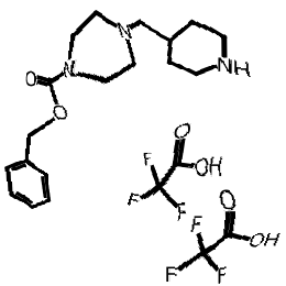 O=C(O)C(F)(F)F.O=C(O)C(F)(F)F.O=C(OCc1ccccc1)N1CCN(CC2CCNCC2)CC1